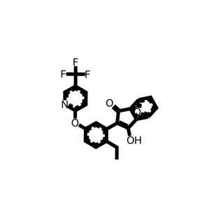 CCc1ccc(Oc2ccc(C(F)(F)F)cn2)cc1C1=C(O)c2c(c3ccc2o3)C1=O